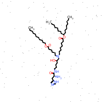 CCCCCCCCCCCOC(=O)CCCCCN(CCCCCCCC(=O)OC(CCCCCCCC)CCCCCCCC)CC(O)CCCCNC(=O)[C@@H](N)Cc1cnc[nH]1